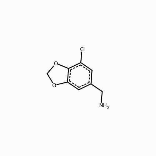 NCc1cc(Cl)c2c(c1)OCO2